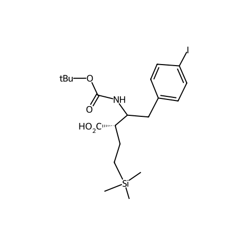 CC(C)(C)OC(=O)NC(Cc1ccc(I)cc1)[C@H](CC[Si](C)(C)C)C(=O)O